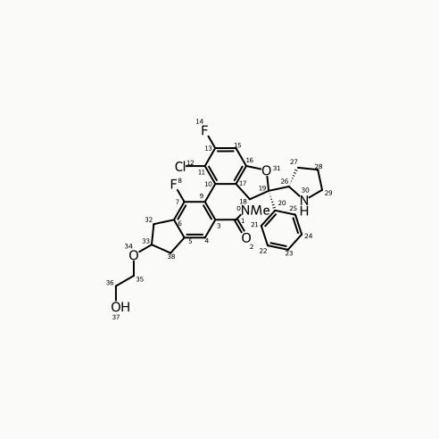 CNC(=O)c1cc2c(c(F)c1-c1c(Cl)c(F)cc3c1C[C@](c1ccccc1)([C@@H]1CCCN1)O3)CC(OCCO)C2